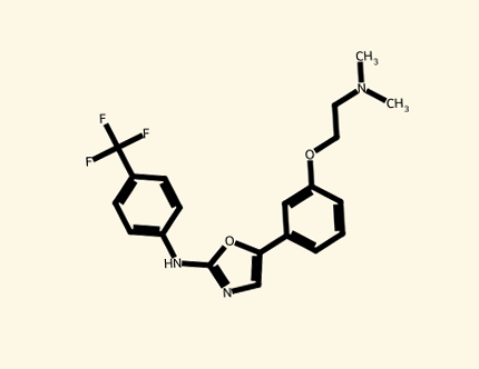 CN(C)CCOc1cccc(-c2cnc(Nc3ccc(C(F)(F)F)cc3)o2)c1